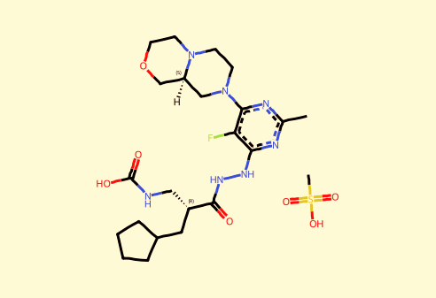 CS(=O)(=O)O.Cc1nc(NNC(=O)[C@@H](CNC(=O)O)CC2CCCC2)c(F)c(N2CCN3CCOC[C@@H]3C2)n1